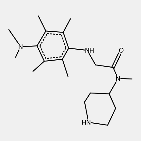 Cc1c(C)c(N(C)C)c(C)c(C)c1NCC(=O)N(C)C1CCNCC1